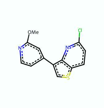 COc1cc(-c2csc3ccc(Cl)nc23)ccn1